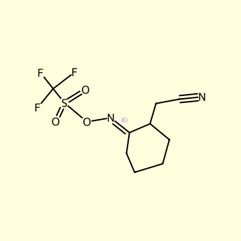 N#CCC1CCCC/C1=N\OS(=O)(=O)C(F)(F)F